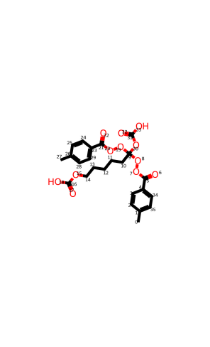 Cc1ccc(C(=O)OOC(CCCCCOC(=O)O)(OOC(=O)c2ccc(C)cc2)OC(=O)O)cc1